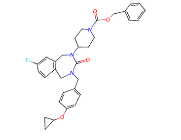 O=C(OCc1ccccc1)N1CCC(N2Cc3cc(F)ccc3CN(Cc3ccc(OC4CC4)cc3)C2=O)CC1